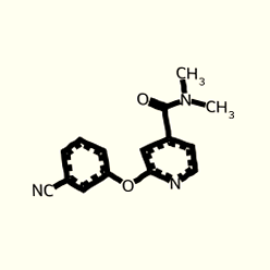 CN(C)C(=O)c1ccnc(Oc2cccc(C#N)c2)c1